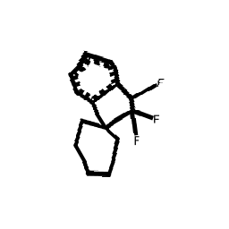 FC1c2ccccc2C2(CCCCC2)C1(F)F